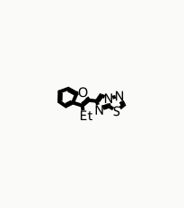 CCc1c(-c2cn3ncsc3n2)oc2ccccc12